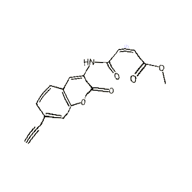 C#Cc1ccc2cc(NC(=O)/C=C\C(=O)OC)c(=O)oc2c1